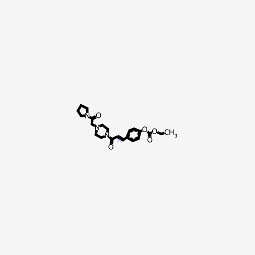 CCOC(=O)Oc1ccc(/C=C/C(=O)N2CCN(CC(=O)N3CCCC3)CC2)cc1